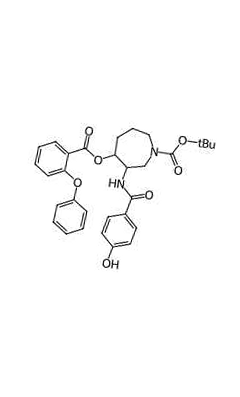 CC(C)(C)OC(=O)N1CCCC(OC(=O)c2ccccc2Oc2ccccc2)C(NC(=O)c2ccc(O)cc2)C1